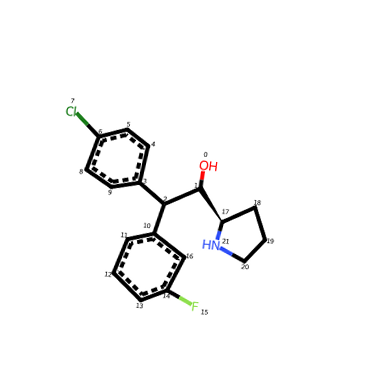 OC(C(c1ccc(Cl)cc1)c1cccc(F)c1)[C@H]1CCCN1